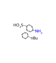 CCCCc1ccccc1.Nc1ccc(S(=O)(=O)O)cc1